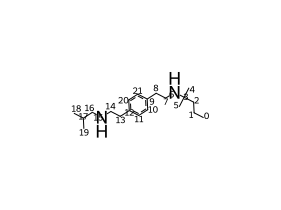 CCCC(C)(C)NCCc1ccc(CCNCC(C)C)cc1